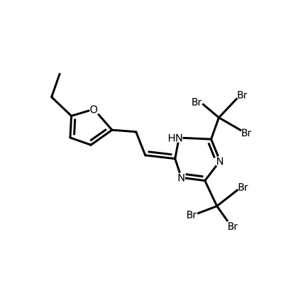 CCc1ccc(CC=C2N=C(C(Br)(Br)Br)N=C(C(Br)(Br)Br)N2)o1